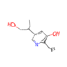 CCc1ncc(C(C)CO)cc1O